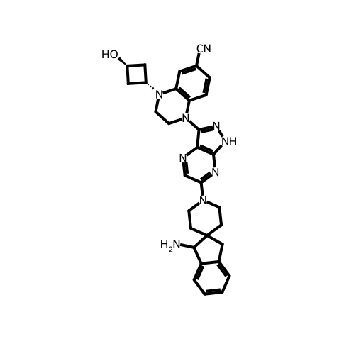 N#Cc1ccc2c(c1)N([C@H]1C[C@H](O)C1)CCN2c1n[nH]c2nc(N3CCC4(CC3)Cc3ccccc3C4N)cnc12